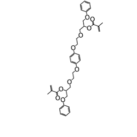 C=C(C)C(=O)OC(COCCOc1ccc(OCCOCC(COc2ccccc2)OC(=O)C(=C)C)cc1)COc1ccccc1